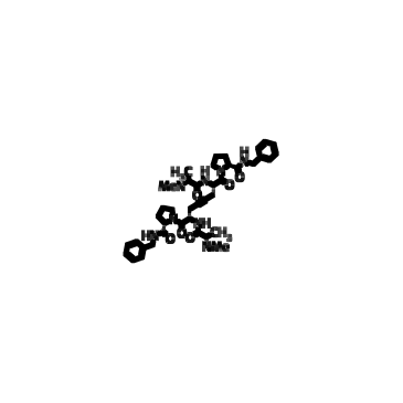 CN[C@@H](C)C(=O)N[C@@H](CC#CC[C@H](NC(=O)[C@H](C)NC)C(=O)N1CCC[C@H]1C(=O)NCc1ccccc1)C(=O)N1CCC[C@H]1C(=O)NCc1ccccc1